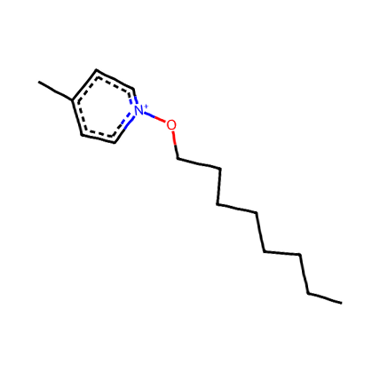 CCCCCCCCO[n+]1ccc(C)cc1